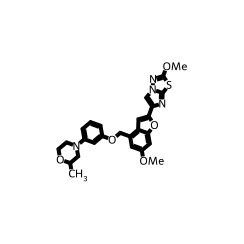 COc1cc(COc2cccc(N3CCOC(C)C3)c2)c2cc(-c3cn4nc(OC)sc4n3)oc2c1